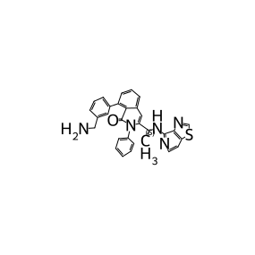 C[C@H](Nc1nccc2scnc12)c1cc2cccc(-c3cccc(CN)c3)c2c(=O)n1-c1ccccc1